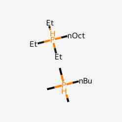 CCCCCCCC[PH](CC)(CC)CC.CCCC[PH](C)(C)C